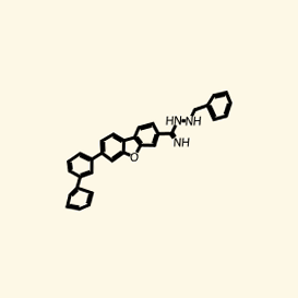 N=C(NNCc1ccccc1)c1ccc2c(c1)oc1cc(-c3cccc(-c4ccccc4)c3)ccc12